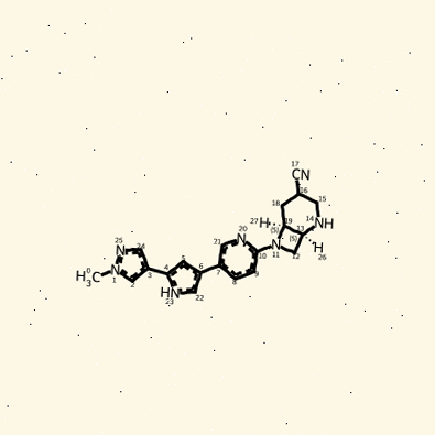 Cn1cc(-c2cc(-c3ccc(N4C[C@@H]5NCC(C#N)C[C@@H]54)nc3)c[nH]2)cn1